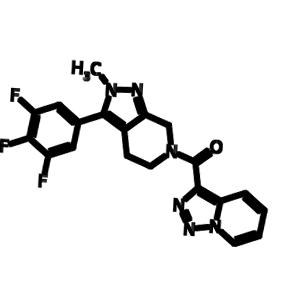 Cn1nc2c(c1-c1cc(F)c(F)c(F)c1)CCN(C(=O)c1nnn3ccccc13)C2